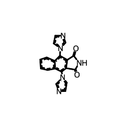 O=C1NC(=O)c2c1c(-n1ccnc1)c1ccccc1c2-n1ccnc1